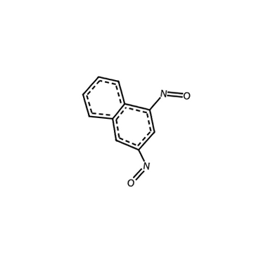 O=Nc1cc(N=O)c2ccccc2c1